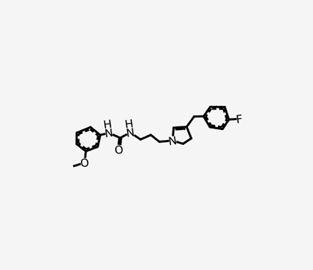 COc1cccc(NC(=O)NCCCN2C=C(Cc3ccc(F)cc3)CC2)c1